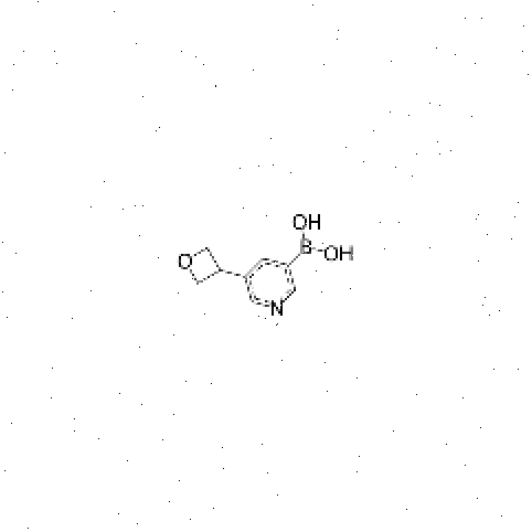 OB(O)c1cncc(C2COC2)c1